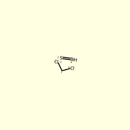 ClCCl.[S]=[BiH]